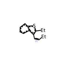 CC/C=C\c1c(CC)sc2ccccc12